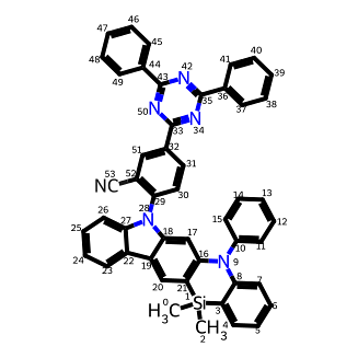 C[Si]1(C)c2ccccc2N(c2ccccc2)c2cc3c(cc21)c1ccccc1n3-c1ccc(-c2nc(-c3ccccc3)nc(-c3ccccc3)n2)cc1C#N